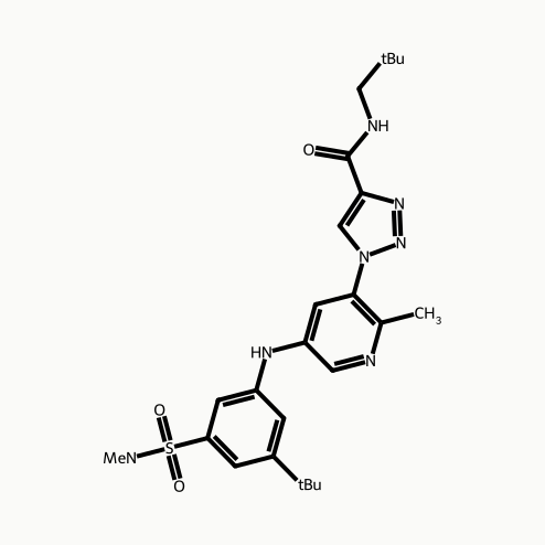 CNS(=O)(=O)c1cc(Nc2cnc(C)c(-n3cc(C(=O)NCC(C)(C)C)nn3)c2)cc(C(C)(C)C)c1